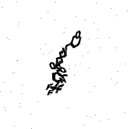 Cc1nc(C(F)(F)F)ccc1S(=O)(=O)N1CC2(CN(C[C@@H]3CCCOC3)C2)C1